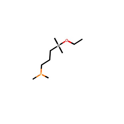 CCO[Si](C)(C)CCCP(C)C